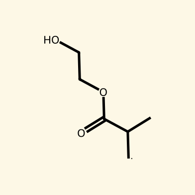 [CH2]C(C)C(=O)OCCO